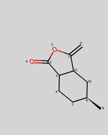 C=C1OC(=O)C2CC[C@H](C)CC12